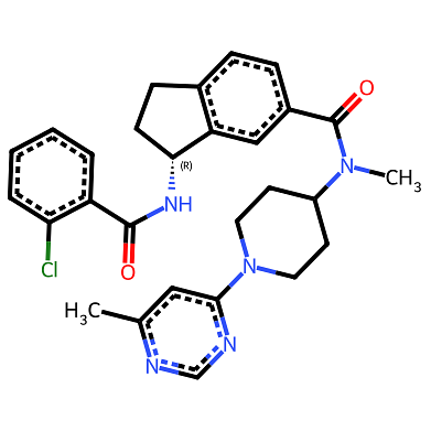 Cc1cc(N2CCC(N(C)C(=O)c3ccc4c(c3)[C@H](NC(=O)c3ccccc3Cl)CC4)CC2)ncn1